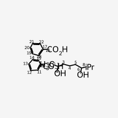 CC(O)CCCC(O)C(C)C.O=C(O)c1ccccc1.O=C(O)c1ccccc1